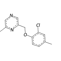 Cc1ccc(OCc2cncc(C)n2)c(Cl)c1